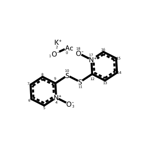 CC(=O)[O-].[K+].[O-][n+]1ccccc1SSc1cccc[n+]1[O-]